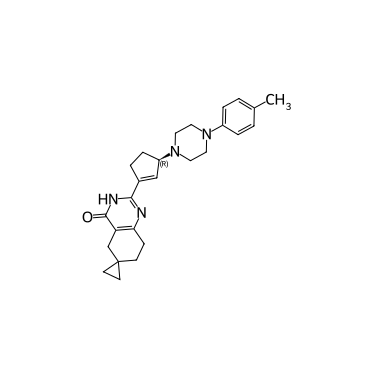 Cc1ccc(N2CCN([C@H]3C=C(c4nc5c(c(=O)[nH]4)CC4(CC5)CC4)CC3)CC2)cc1